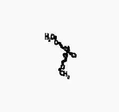 C=COCCO[PH](=O)OCCOC=C